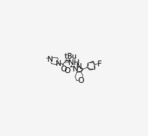 CN1CCN(C(=O)[C@@H](NC(=O)n2nc(-c3ccc(F)cc3)c3c2CCOC3)C(C)(C)C)CC1